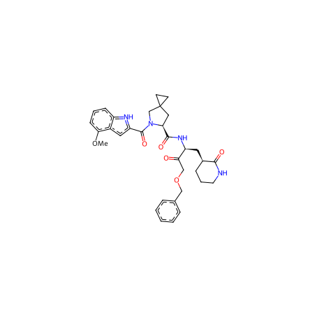 COc1cccc2[nH]c(C(=O)N3CC4(CC4)C[C@H]3C(=O)N[C@@H](C[C@@H]3CCCNC3=O)C(=O)COCc3ccccc3)cc12